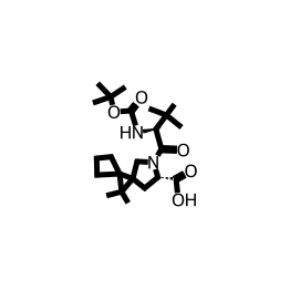 CC(C)(C)OC(=O)N[C@H](C(=O)N1CC2(C[C@H]1C(=O)O)C(C)(C)C21CCC1)C(C)(C)C